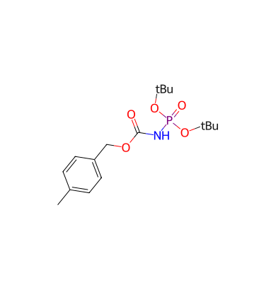 Cc1ccc(COC(=O)NP(=O)(OC(C)(C)C)OC(C)(C)C)cc1